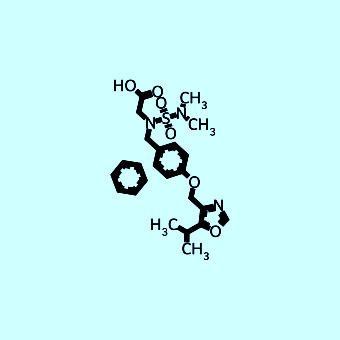 CC(C)c1ocnc1COc1ccc(CN(CC(=O)O)S(=O)(=O)N(C)C)cc1.c1ccccc1